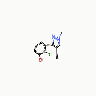 C#Cc1cn(C)nc1-c1cccc(Br)c1Cl